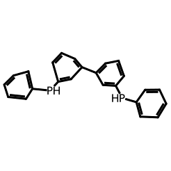 c1ccc(Pc2cccc(-c3cccc(Pc4ccccc4)c3)c2)cc1